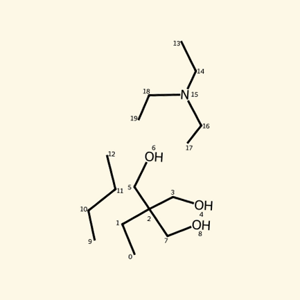 CCC(CO)(CO)CO.CCCC.CCN(CC)CC